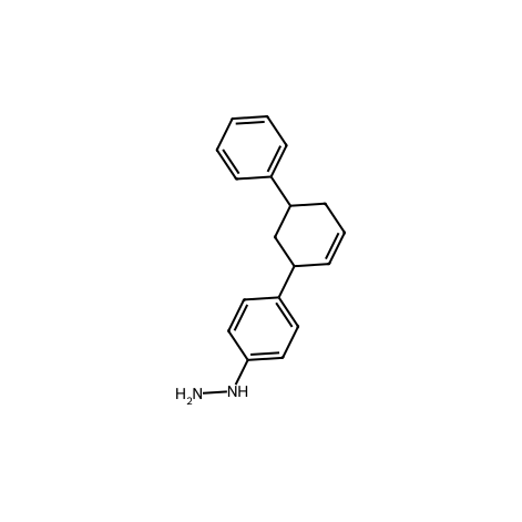 NNc1ccc(C2C=CCC(c3ccccc3)C2)cc1